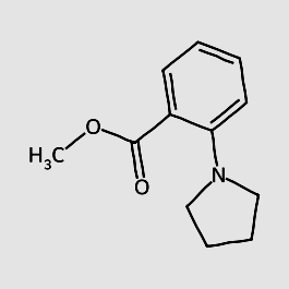 COC(=O)c1ccccc1N1CCCC1